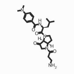 CC(C)C[C@H](NC(=O)c1ccc(N(C)C)cc1)C(=O)N1CC[C@@H]2[C@H]1C(=O)CN2C(=O)CCN